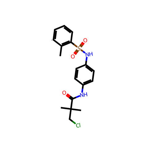 Cc1[c]cccc1S(=O)(=O)Nc1ccc(NC(=O)C(C)(C)CCl)cc1